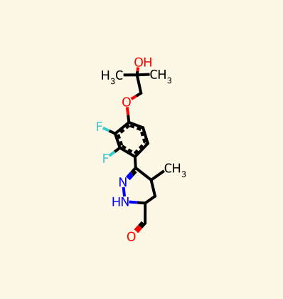 CC1CC(C=O)NN=C1c1ccc(OCC(C)(C)O)c(F)c1F